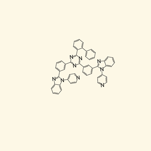 c1ccc(-c2ccccc2-c2nc(-c3cccc(-c4nc5ccccc5n4-c4ccncc4)c3)nc(-c3cccc(-c4nc5ccccc5n4-c4ccncc4)c3)n2)cc1